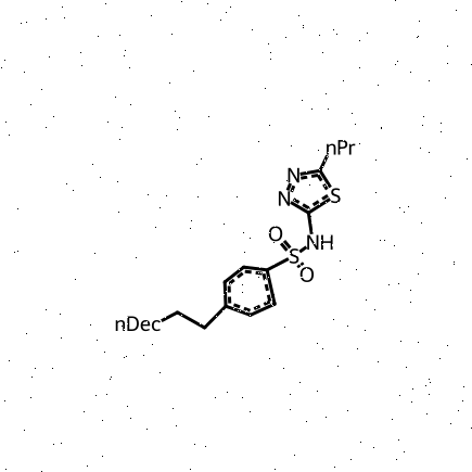 CCCCCCCCCCCCc1ccc(S(=O)(=O)Nc2nnc(CCC)s2)cc1